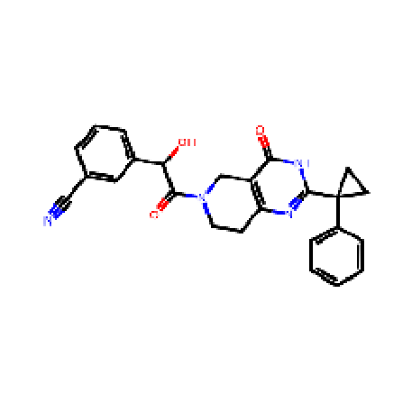 N#Cc1cccc(C(O)C(=O)N2CCc3nc(C4(c5ccccc5)CC4)[nH]c(=O)c3C2)c1